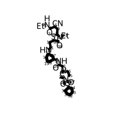 CCNC(=O)C(C#N)CC1SC(CCNc2cccc(NC(=O)CN3CCN(S(=O)(=O)c4ccccc4)CC3)c2)C(=O)N1CC